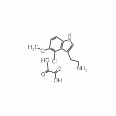 COc1ccc2[nH]cc(CCN)c2c1Cl.O=C(O)C(=O)O